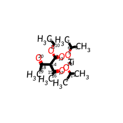 CC(C)[O][Ti][O]C(C)C.CCOC(=O)C(C(C)=O)C(C)=O